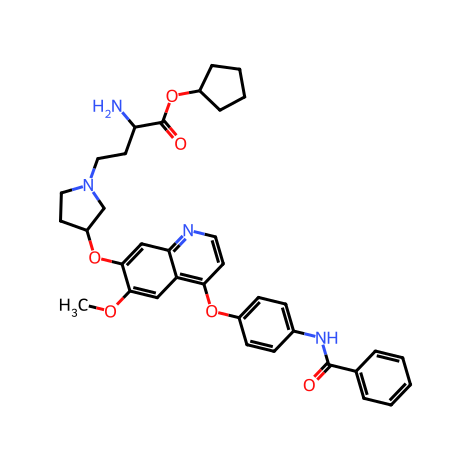 COc1cc2c(Oc3ccc(NC(=O)c4ccccc4)cc3)ccnc2cc1OC1CCN(CCC(N)C(=O)OC2CCCC2)C1